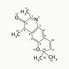 CC1=Nc2cc3c(cc2C(C)C1=O)OC(C)(C)C=C3